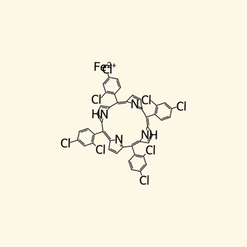 Clc1ccc(-c2c3nc(c(-c4ccc(Cl)cc4Cl)c4ccc([nH]4)c(-c4ccc(Cl)cc4Cl)c4nc(c(-c5ccc(Cl)cc5Cl)c5ccc2[nH]5)C=C4)C=C3)c(Cl)c1.[Fe+2]